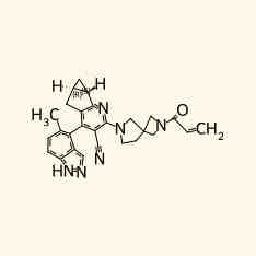 C=CC(=O)N1CC2(CCN(c3nc4c(c(-c5c(C)ccc6[nH]ncc56)c3C#N)C[C@H]3C[C@H]43)C2)C1